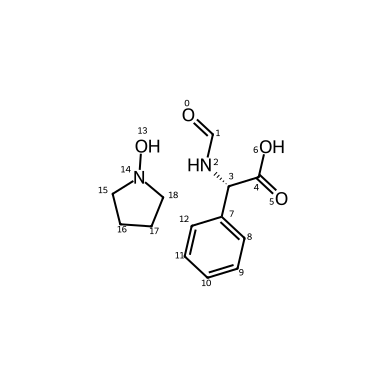 O=CN[C@H](C(=O)O)c1ccccc1.ON1CCCC1